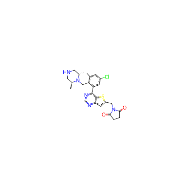 Cc1cc(Cl)cc(-c2ncnc3cc(CN4C(=O)CCC4=O)sc23)c1CN1[C@@H](C)CNC[C@@H]1C